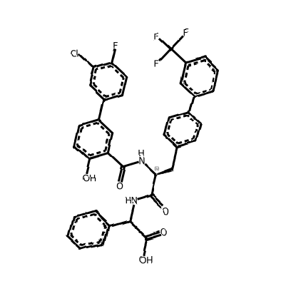 O=C(N[C@@H](Cc1ccc(-c2cccc(C(F)(F)F)c2)cc1)C(=O)NC(C(=O)O)c1ccccc1)c1cc(-c2ccc(F)c(Cl)c2)ccc1O